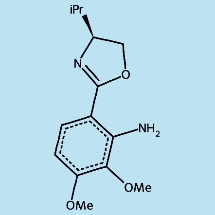 COc1ccc(C2=N[C@@H](C(C)C)CO2)c(N)c1OC